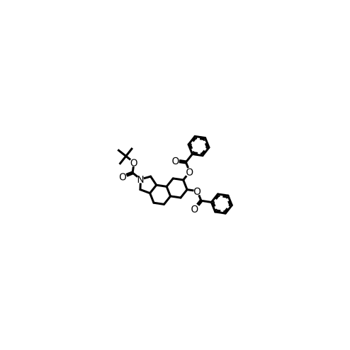 CC(C)(C)OC(=O)N1CC2CCC3CC(OC(=O)c4ccccc4)C(OC(=O)c4ccccc4)CC3C2C1